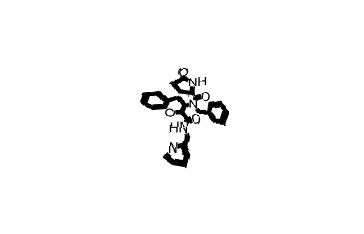 O=C1CC[C@@H](C(=O)N(Cc2ccccc2)C(Cc2ccccc2)C(=O)C(=O)NCc2ccccn2)N1